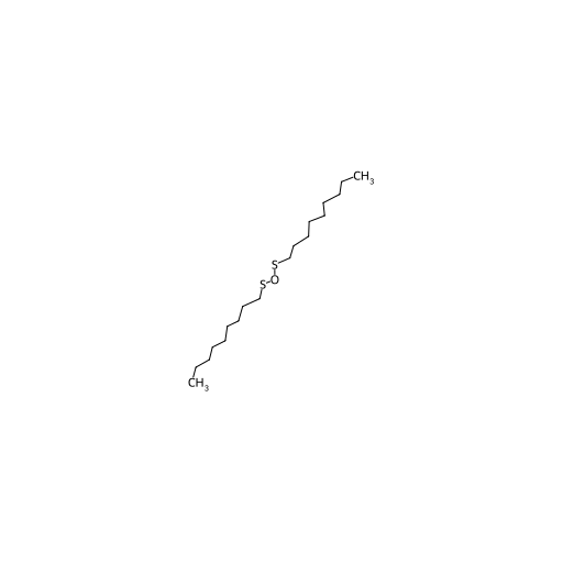 CCCCCCCCCSOSCCCCCCCCC